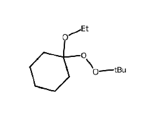 CCOC1(OOC(C)(C)C)CCCCC1